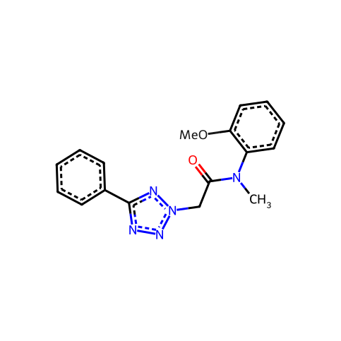 COc1ccccc1N(C)C(=O)Cn1nnc(-c2ccccc2)n1